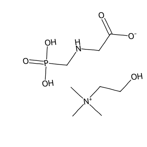 C[N+](C)(C)CCO.O=C([O-])CNCP(=O)(O)O